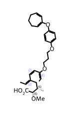 C\C=C(/C=C\C(=C/C)OCCCOc1ccc(OC2=CCCCC=C2)cc1)C[C@H](C)[C@H](OC)C(=O)O